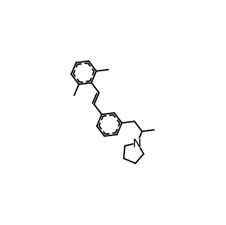 Cc1cccc(C)c1C=Cc1cccc(CC(C)N2CCCC2)c1